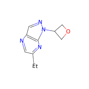 CCc1cnc2cnn(C3COC3)c2n1